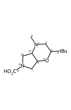 CN1CC(C(C)(C)C)OC2CN(C(=O)O)CC21